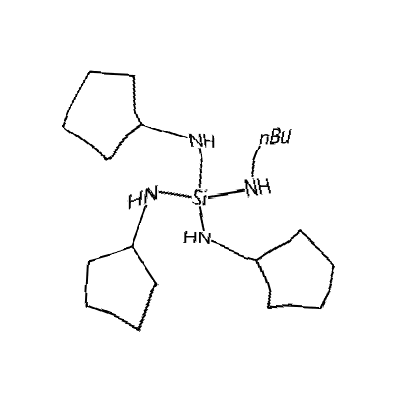 CCCCN[Si](NC1CCCC1)(NC1CCCC1)NC1CCCC1